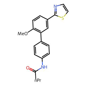 CCCC(=O)Nc1ccc(-c2cc(-c3nccs3)ccc2OC)cc1